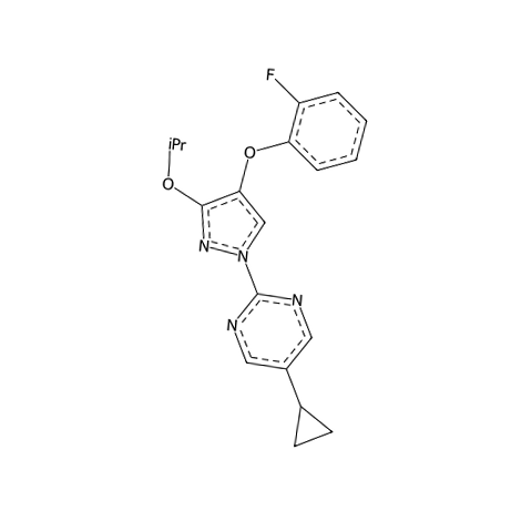 CC(C)Oc1nn(-c2ncc(C3CC3)cn2)cc1Oc1ccccc1F